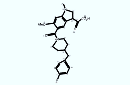 COc1cc2c(cc1C(=O)N1CCC(Cc3ccc(F)cc3)CC1)C(C(=O)C(=O)O)CN2C